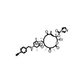 C#Cc1ccc(CN(C)[C@H]2C[C@@H](C)O[C@@H](O[C@@H]3[C@@H](C)C(=O)[C@@H](C)C(=O)O[C@H](CC)[C@@](C)(OC(=O)n4ccnc4)/C=C(\C)C(=O)C[C@@H](C)[C@@]3(C)OC)[C@@H]2C)cc1